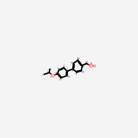 CC(C)Oc1ccc(-c2ccc(CO)cc2)cc1